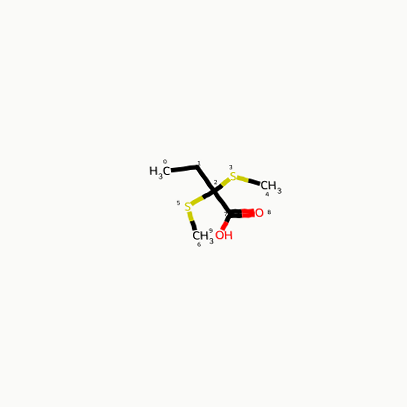 CCC(SC)(SC)C(=O)O